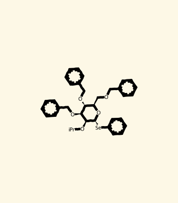 CC(C)O[C@H]1[C@@H](OCc2ccccc2)[C@H](OCc2ccccc2)[C@@H](COCc2ccccc2)O[C@@H]1[Se]c1ccccc1